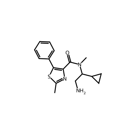 Cc1nc(C(=O)N(C)C(CN)C2CC2)c(-c2ccccc2)s1